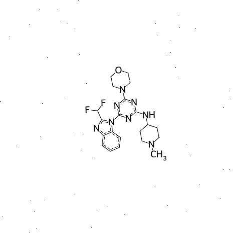 CN1CCC(Nc2nc(N3CCOCC3)nc(-n3c(C(F)F)nc4ccccc43)n2)CC1